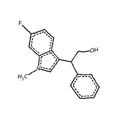 Cn1cc(C(CO)c2ccccc2)c2ccc(F)cc21